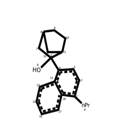 CCCc1ccc(C2(O)CC3CCC2C3)c2ccccc12